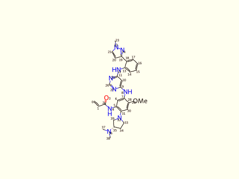 C=CC(=O)Nc1cc(Nc2cc(Nc3ccccc3-c3ccn(C)n3)ncn2)c(OC)cc1N1CC[C@H](N(C)C)C1